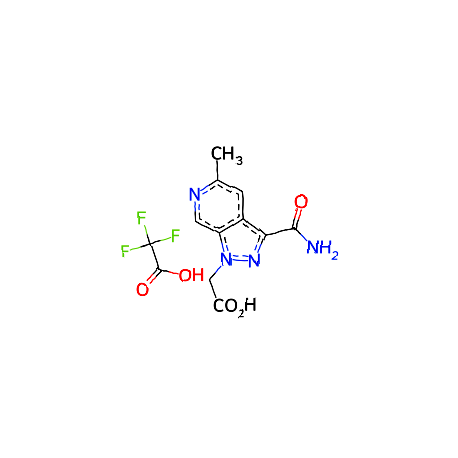 Cc1cc2c(C(N)=O)nn(CC(=O)O)c2cn1.O=C(O)C(F)(F)F